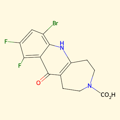 O=C(O)N1CCc2[nH]c3c(Br)cc(F)c(F)c3c(=O)c2CC1